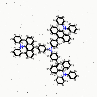 C1=CCCC(N(c2ccccc2)c2c3ccccc3c(-c3ccc(N(c4ccc(-c5c6ccccc6c(N(c6ccccc6)c6ccccc6)c6ccccc56)cc4)c4ccc(-c5c6ccccc6c(N(c6ccccc6)c6ccccc6)c6ccccc56)cc4)cc3)c3ccccc23)=C1